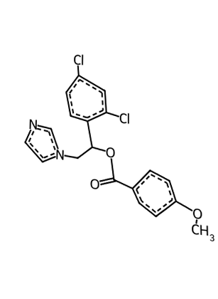 COc1ccc(C(=O)OC(Cn2ccnc2)c2ccc(Cl)cc2Cl)cc1